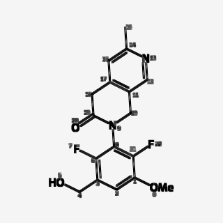 COc1cc(CO)c(F)c(N2Cc3cnc(C)cc3CC2=O)c1F